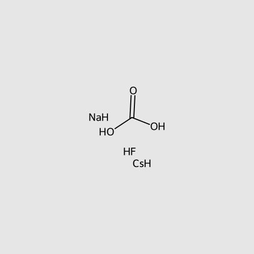 F.O=C(O)O.[CsH].[NaH]